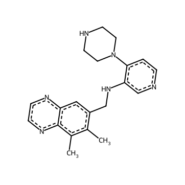 Cc1c(CNc2cnccc2N2CCNCC2)cc2nccnc2c1C